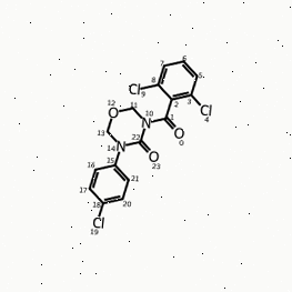 O=C(c1c(Cl)cccc1Cl)N1COCN(c2ccc(Cl)cc2)C1=O